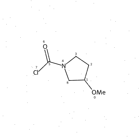 COC1CCN(C(=O)Cl)C1